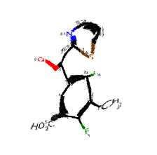 Cc1c(F)c(C(=O)O)cc(C(=O)c2nccs2)c1F